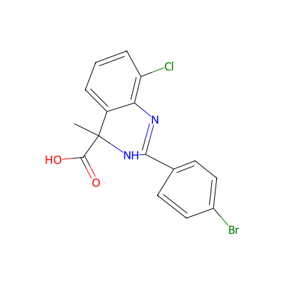 CC1(C(=O)O)NC(c2ccc(Br)cc2)=Nc2c(Cl)cccc21